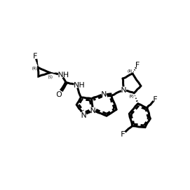 O=C(Nc1cnn2ccc(N3C[C@H](F)C[C@@H]3c3cc(F)ccc3F)nc12)N[C@H]1C[C@H]1F